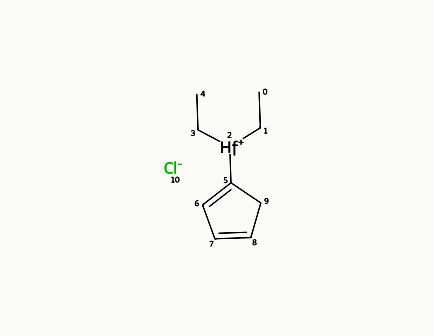 C[CH2][Hf+]([CH2]C)[C]1=CC=CC1.[Cl-]